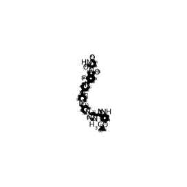 CC1(Oc2ccc3[nH]nc(-c4cc(N5CCC(CN6CCC(F)(CC7CCN(c8ccc9c(c8F)CN(C8CCC(=O)NC8=O)C9=O)CC7)CC6)CC5)ncn4)c3c2)CC1